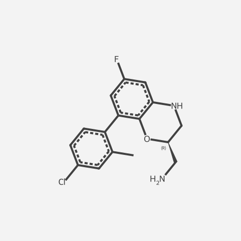 Cc1cc(Cl)ccc1-c1cc(F)cc2c1O[C@H](CN)CN2